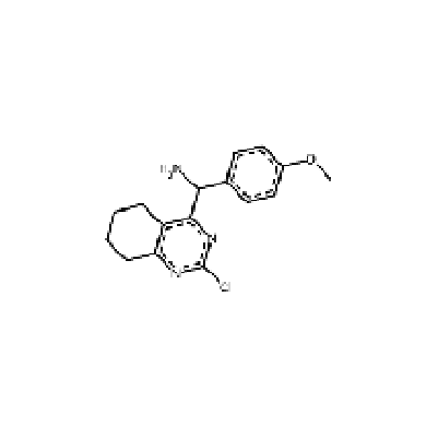 COc1ccc(C(N)c2nc(Cl)nc3c2CCCC3)cc1